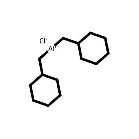 C1CCC([CH2][Al+][CH2]C2CCCCC2)CC1.[Cl-]